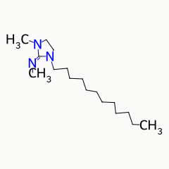 CCCCCCCCCCCCN1CCN(C)/C1=N/C